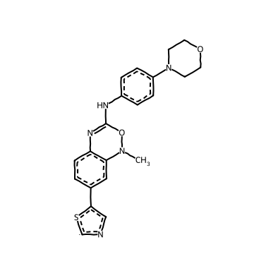 CN1OC(Nc2ccc(N3CCOCC3)cc2)=Nc2ccc(-c3cn[c]s3)cc21